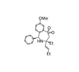 CC/C=C/[C@@]1(CC)CS(=O)(=O)c2cc(OC)ccc2[C@H](c2ccccc2)N1